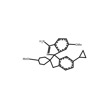 COc1ccc2c(c1)C1(N=C2N)c2cc(C3CC3)ccc2CC12CCC(OC)CC2